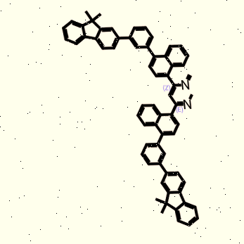 C=N/C(=C\C(=N/C)c1ccc(-c2cccc(-c3ccc4c(c3)C(C)(C)c3ccccc3-4)c2)c2ccccc12)c1ccc(-c2cccc(-c3ccc4c(c3)C(C)(C)c3ccccc3-4)c2)c2ccccc12